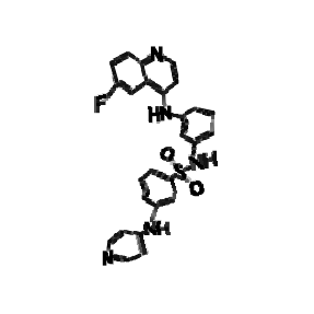 O=S(=O)(Nc1cccc(Nc2ccnc3ccc(F)cc23)c1)c1cccc(Nc2ccncc2)c1